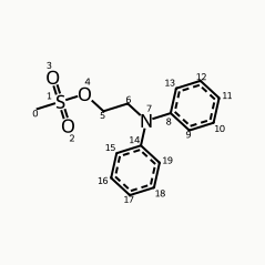 CS(=O)(=O)OCCN(c1ccccc1)c1ccccc1